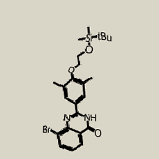 Cc1cc(-c2nc3c(Br)cccc3c(=O)[nH]2)cc(C)c1OCCO[Si](C)(C)C(C)(C)C